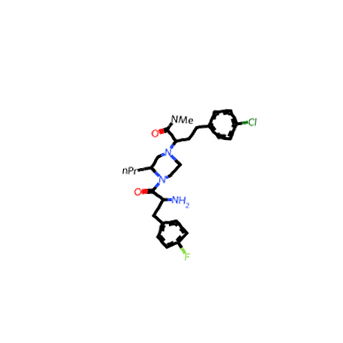 CCCC1CN(C(CCc2ccc(Cl)cc2)C(=O)NC)CCN1C(=O)C(N)Cc1ccc(F)cc1